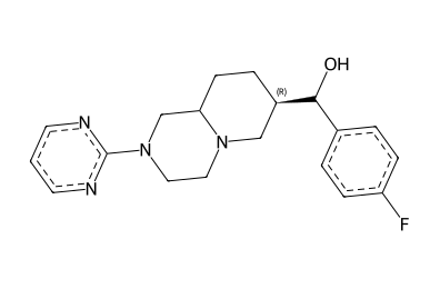 OC(c1ccc(F)cc1)[C@@H]1CCC2CN(c3ncccn3)CCN2C1